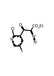 CCOC(=O)C(=[N+]=[N-])C(=O)c1cc(I)cnc1Cl